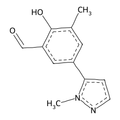 Cc1cc(-c2ccnn2C)cc(C=O)c1O